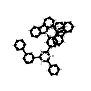 c1ccc(-c2cccc(-c3nc(-c4ccccc4)nc(-c4ccc(-c5ccccc5)c(-n5c6ccccc6c6cccc(-n7c8ccccc8c8ccccc87)c65)c4)n3)c2)cc1